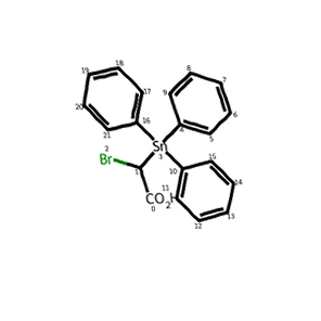 O=C(O)[CH](Br)[Sn]([c]1ccccc1)([c]1ccccc1)[c]1ccccc1